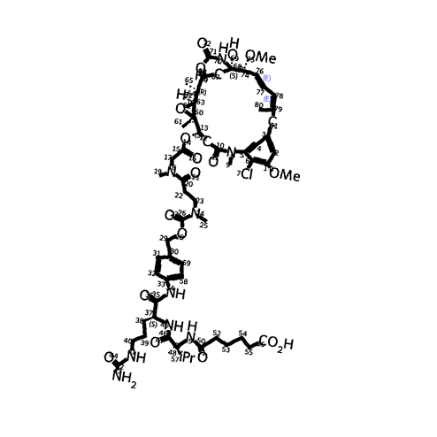 COc1cc2cc(c1Cl)N(C)C(=O)C[C@H](OC(=O)CN(C)C(=O)CCN(C)C(=O)OCc1ccc(NC(=O)[C@H](CCCNC(N)=O)NC(=O)[C@@H](NC(=O)CCCCC(=O)O)C(C)C)cc1)[C@]1(C)O[C@H]1[C@H](C)[C@@H]1C[C@@](O)(NC(=O)O1)[C@H](OC)/C=C/C=C(\C)C2